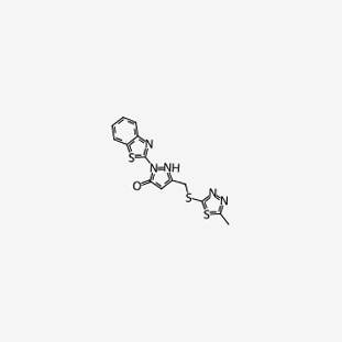 Cc1nnc(SCc2cc(=O)n(-c3nc4ccccc4s3)[nH]2)s1